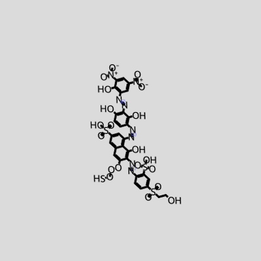 O=[N+]([O-])c1cc(/N=N/c2c(O)ccc(/N=N\c3cc(S(=O)(=O)O)cc4cc(OOOS)c(/N=N/c5ccc(S(=O)(=O)CCO)cc5S(=O)(=O)O)c(O)c34)c2O)c(O)c([N+](=O)[O-])c1